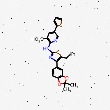 CC(C)Cc1sc(Nc2ncc(-c3cccs3)cc2C(=O)O)nc1-c1ccc2c(c1)OC(C)(C)O2